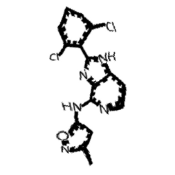 Cc1cc(Nc2nccc3[nH]c(-c4c(Cl)cccc4Cl)nc23)on1